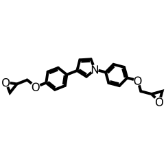 c1cc(-c2ccn(-c3ccc(OCC4CO4)cc3)c2)ccc1OCC1CO1